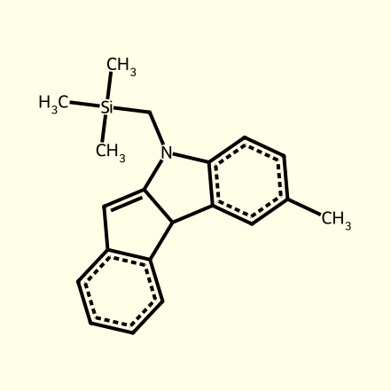 Cc1ccc2c(c1)C1C(=Cc3ccccc31)N2C[Si](C)(C)C